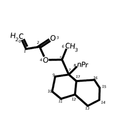 C=CC(=O)OC(C)C1(CCC)CCCC2CCCCC21